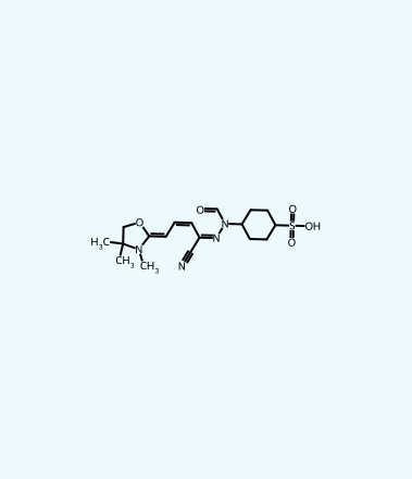 CN1/C(=C/C=C\C(C#N)=N/N(C=O)C2CCC(S(=O)(=O)O)CC2)OCC1(C)C